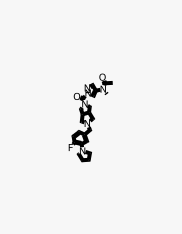 CC(=O)N(C)c1cnn(C(=O)N2CC3CN(Cc4ccc(F)c(N5CCCC5)c4)CC3C2)c1